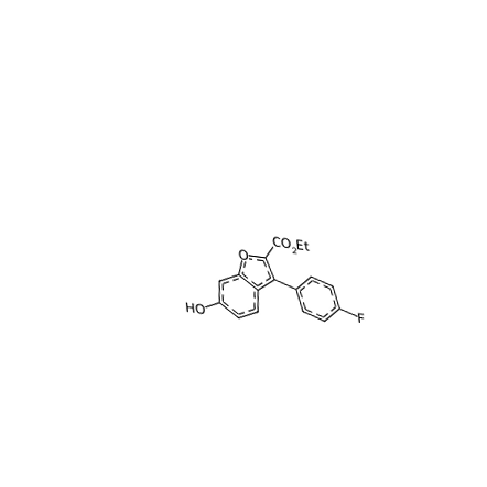 CCOC(=O)c1oc2cc(O)ccc2c1-c1ccc(F)cc1